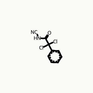 N#CNC(=O)C(Cl)(Cl)c1ccccc1